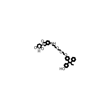 CC/C(=C(\c1ccc(O)cc1)c1ccc(OCCOCCOCCCNc2ccc3c(c2)CN(C2CCC(=O)NC2=O)C3=O)cc1)c1ccccc1